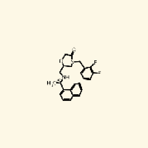 C[C@@H](NCC1CN(Cc2cccc(F)c2F)C(=O)CO1)c1cccc2ccccc12